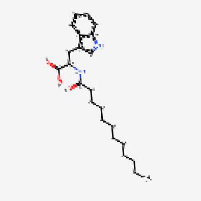 CCCCCCCCCCCC(=O)NC(Cc1c[nH]c2ccccc12)C(=O)O